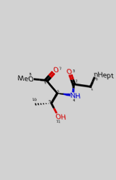 CCCCCCCCC(=O)N[C@H](C(=O)OC)[C@@H](C)O